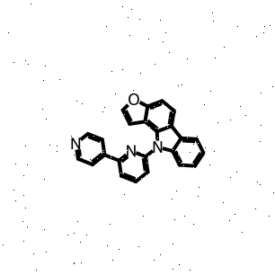 c1cc(-c2ccncc2)nc(-n2c3ccccc3c3ccc4occc4c32)c1